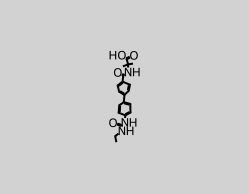 CCNC(=O)Nc1ccc(-c2ccc(C(=O)NC(C)(C)C(=O)O)cc2)cc1